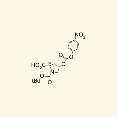 CC(C)(C)OC(=O)N1CC(OC(=O)Oc2ccc([N+](=O)[O-])cc2)C[C@H]1C(=O)O